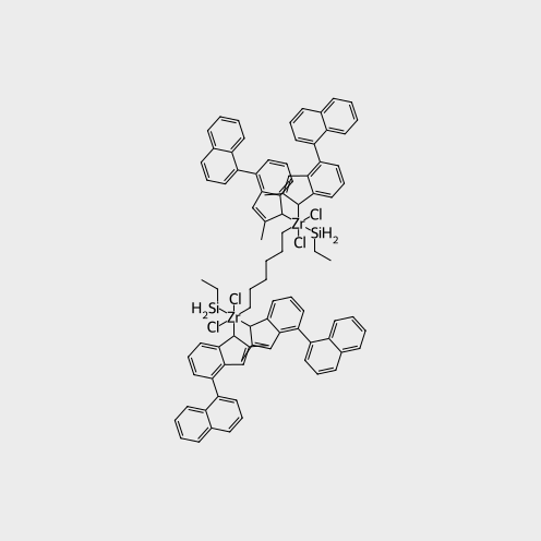 CC[SiH2][Zr]([Cl])([Cl])([CH2]CCCC[CH2][Zr]([Cl])([Cl])([SiH2]CC)([CH]1C(C)=Cc2c(-c3cccc4ccccc34)cccc21)[CH]1C(C)=Cc2c(-c3cccc4ccccc34)cccc21)([CH]1C(C)=Cc2c(-c3cccc4ccccc34)cccc21)[CH]1C(C)=Cc2c(-c3cccc4ccccc34)cccc21